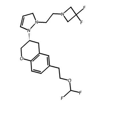 FC(F)OCCc1ccc2c(c1)C[C@@H](N1C=CCN1CCN1CC(F)(F)C1)CO2